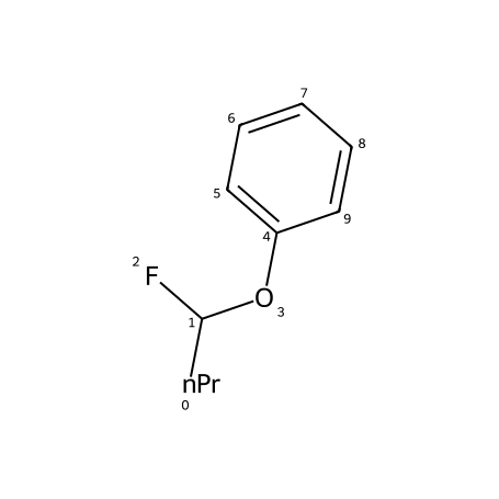 CCCC(F)Oc1ccccc1